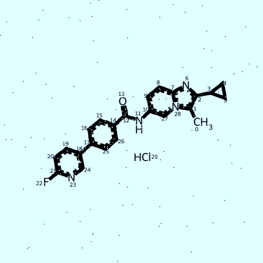 Cc1c(C2CC2)nc2ccc(NC(=O)c3ccc(-c4ccc(F)nc4)cc3)cn12.Cl